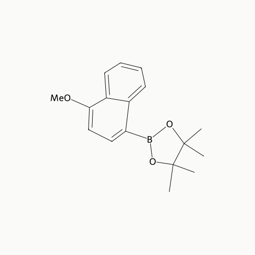 COc1ccc(B2OC(C)(C)C(C)(C)O2)c2ccccc12